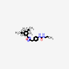 CCCNC(=O)Nc1ccc(Cc2noc(-c3cc(C(C)(C)C)cc(C(C)(C)C)c3)n2)cc1